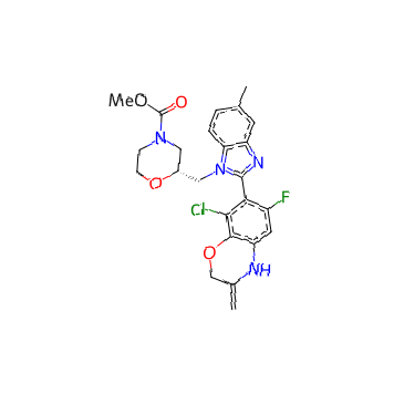 C=C1COc2c(cc(F)c(-c3nc4cc(C)ccc4n3C[C@H]3CN(C(=O)OC)CCO3)c2Cl)N1